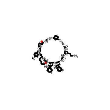 COc1ccc(C[C@@H]2NC(=O)[C@@H]3CC/C=C/CC[C@H](NC(=O)[C@H](Cc4c[nH]c5ccc(F)cc45)NC(=O)[C@H](Cc4c[nH]c5ccc(F)cc45)NC(=O)[C@@H](C)NC(=O)[C@H](CCCCN)NC(=O)CCSCc4cccc(c4)CSCCNC(=O)[C@]4(C)CCCN4C2=O)C(=O)N3)cc1